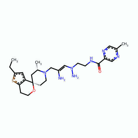 CCc1cc2c(s1)CCO[C@@]21CCN(C/C(N)=C/N(N)CCNC(=O)c2cnc(C)cn2)[C@@H](C)C1